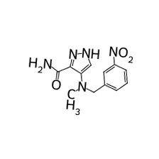 CN(Cc1cccc([N+](=O)[O-])c1)c1c[nH]nc1C(N)=O